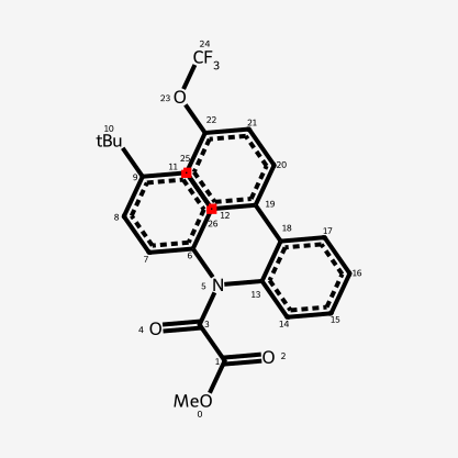 COC(=O)C(=O)N(c1ccc(C(C)(C)C)cc1)c1ccccc1-c1ccc(OC(F)(F)F)cc1